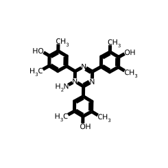 Cc1cc(C2=NC(c3cc(C)c(O)c(C)c3)N(N)C(c3cc(C)c(O)c(C)c3)=N2)cc(C)c1O